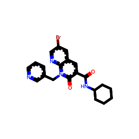 O=C(NC1CCCCC1)c1cc2cc(Br)cnc2n(Cc2cccnc2)c1=O